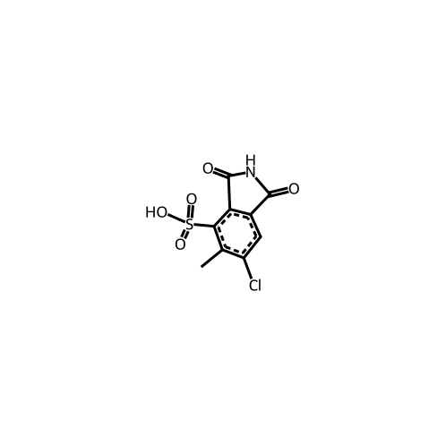 Cc1c(Cl)cc2c(c1S(=O)(=O)O)C(=O)NC2=O